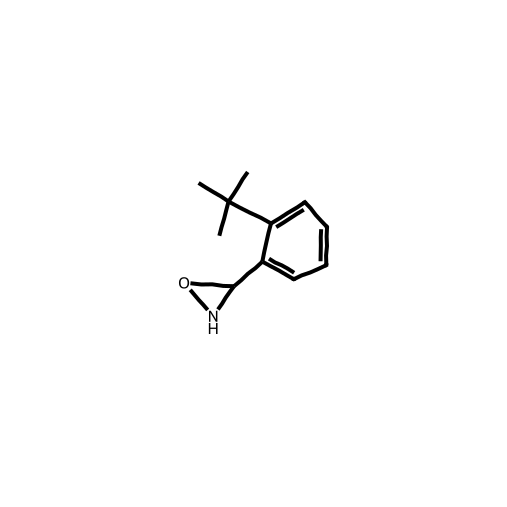 CC(C)(C)c1ccccc1C1NO1